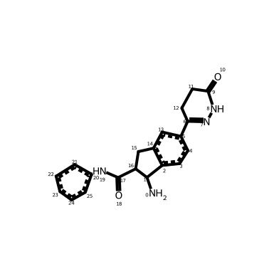 NC1c2ccc(C3=NNC(=O)CC3)cc2CC1C(=O)Nc1ccccc1